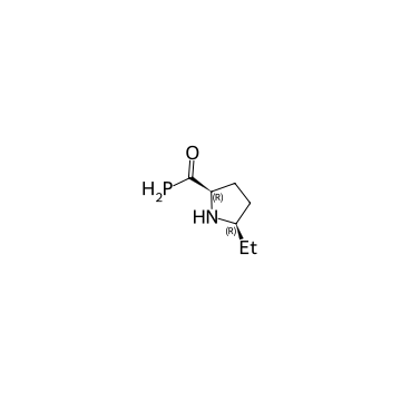 CC[C@@H]1CC[C@H](C(=O)P)N1